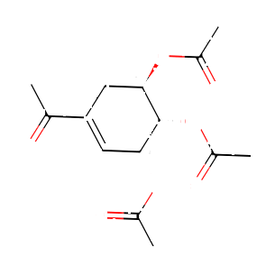 CC(=O)O[C@@H]1[C@H](OC(C)=O)C=C(C(C)=O)C[C@H]1OC(C)=O